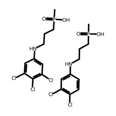 CP(=O)(O)CCCNc1cc(Cl)c(Cl)c(Cl)c1.CP(=O)(O)CCCNc1ccc(Cl)c(Cl)c1